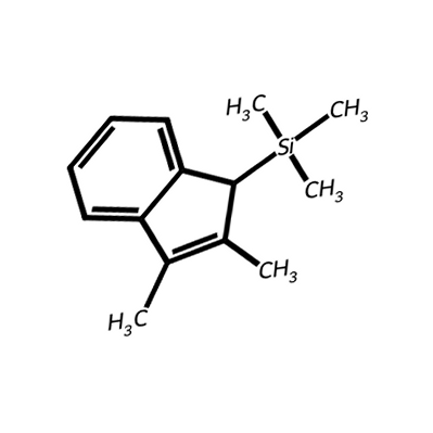 CC1=C(C)C([Si](C)(C)C)c2ccccc21